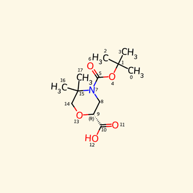 CC(C)(C)OC(=O)N1C[C@H](C(=O)O)OCC1(C)C